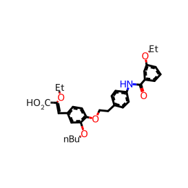 CCCCOc1cc(C=C(OCC)C(=O)O)ccc1OCCc1ccc(NC(=O)c2cccc(OCC)c2)cc1